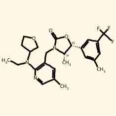 CCN(c1ncc(C)cc1CN1C(=O)O[C@H](c2cc(C)cc(C(F)(F)F)c2)[C@@H]1C)C1CCOC1